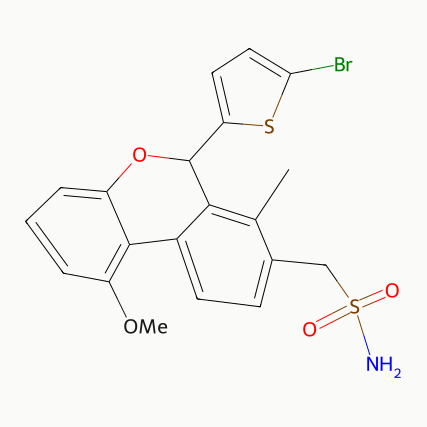 COc1cccc2c1-c1ccc(CS(N)(=O)=O)c(C)c1C(c1ccc(Br)s1)O2